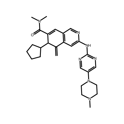 C=C1c2cc(Nc3ncc(N4CCN(C)CC4)cn3)ncc2C=C(C(=O)N(C)C)C1C1CCCC1